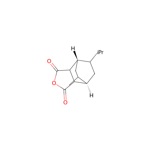 CC(C)C1C[C@@H]2C(C)C[C@@H]1C1C(=O)OC(=O)C12